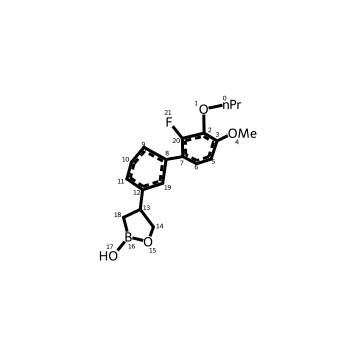 CCCOc1c(OC)ccc(-c2cccc(C3COB(O)C3)c2)c1F